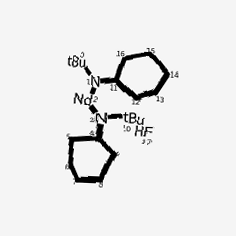 CC(C)(C)[N]([Nd][N](C1CCCCC1)C(C)(C)C)C1CCCCC1.F